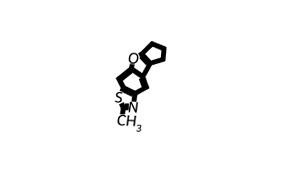 Cc1nc2cc3c4c(oc3cc2s1)CCC4